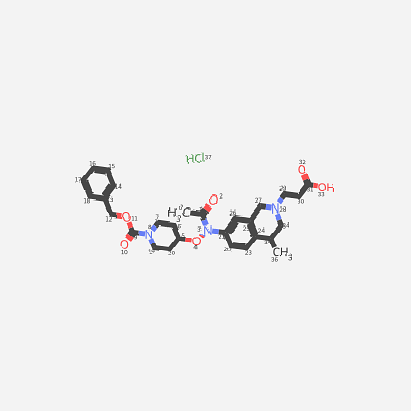 CC(=O)N(OC1CCN(C(=O)OCc2ccccc2)CC1)c1ccc2c(c1)CN(CCC(=O)O)CC2C.Cl